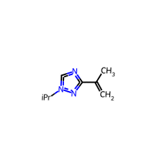 C=C(C)c1ncn(C(C)C)n1